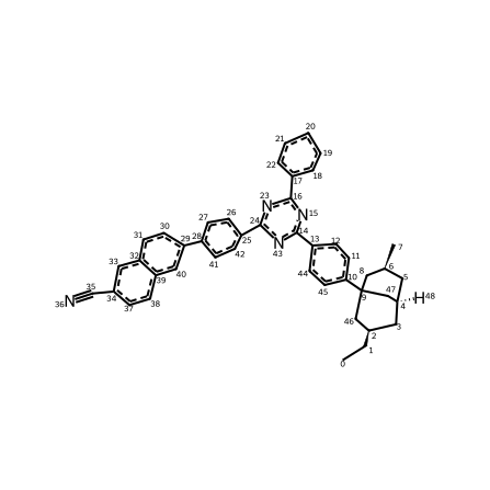 CC[C@@H]1C[C@@H]2C[C@H](C)CC(c3ccc(-c4nc(-c5ccccc5)nc(-c5ccc(-c6ccc7cc(C#N)ccc7c6)cc5)n4)cc3)(C1)C2